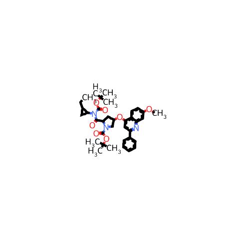 CCC1CC1N(C(=O)OC(C)(C)C)C(=O)C1CC(Oc2cc(-c3ccccc3)nc3cc(OC)ccc23)CN1C(=O)OC(C)(C)C